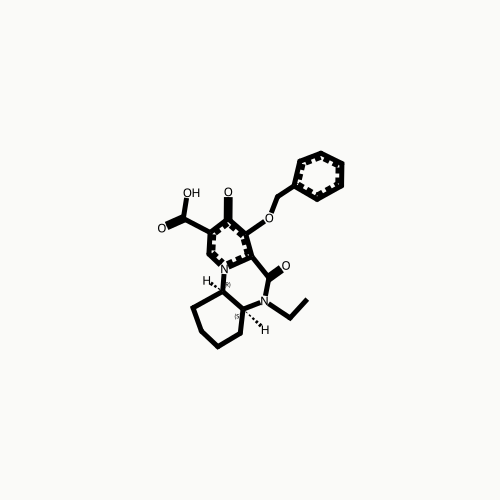 CCN1C(=O)c2c(OCc3ccccc3)c(=O)c(C(=O)O)cn2[C@@H]2CCCC[C@@H]21